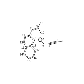 CC#CCOc1c(C=C(C)C)ccc2ccccc12